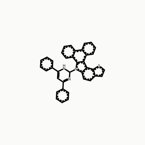 C1=C(c2ccccc2)NC(n2c3ccc4ccsc4c3c3c4ccccc4c4ccccc4c32)N=C1c1ccccc1